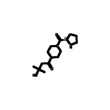 CC(C)(O)CC(=O)N1CCN(C(=O)[C@@H]2CCCN2)CC1